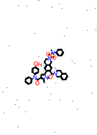 Cc1c(C(=O)N(c2ccccc2)c2ccc(O)cc2)cc(-c2cc3c(cc2C(=O)N2Cc4ccccc4C[C@H]2C)CN(S(=O)(=O)N(C)c2ccccc2)CC3)n1C